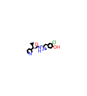 CN(C)[C@H](CNC(=O)C[C@H](c1cccnc1)C1CC1)Cc1ccc(O)c(Cl)c1